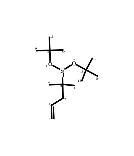 C=CCC(C)(C)[SiH](OC(C)(C)C)OC(C)(C)C